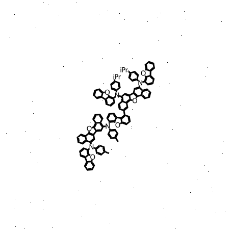 Cc1ccc(N(c2cc3c4cc(N(c5ccc(C)cc5)c5cccc6c5oc5cccc(-c7ccc8c(N(c9ccc(C(C)C)cc9)c9cccc%10c9oc9ccccc9%10)cc9c%10cc(N(c%11ccc(C(C)C)cc%11)c%11cccc%12c%11oc%11ccccc%11%12)c%11ccccc%11c%10oc9c8c7)c56)c5ccccc5c4oc3c3ccccc23)c2cccc3c2oc2ccccc23)cc1